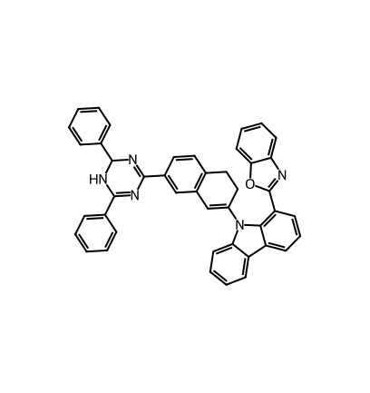 C1=C(n2c3ccccc3c3cccc(-c4nc5ccccc5o4)c32)CCc2ccc(C3=NC(c4ccccc4)NC(c4ccccc4)=N3)cc21